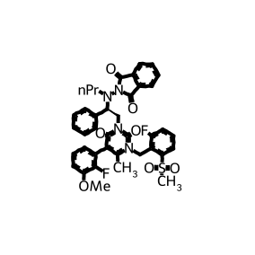 CCCN([C@@H](Cn1c(=O)c(-c2cccc(OC)c2F)c(C)n(Cc2c(F)cccc2S(C)(=O)=O)c1=O)c1ccccc1)N1C(=O)c2ccccc2C1=O